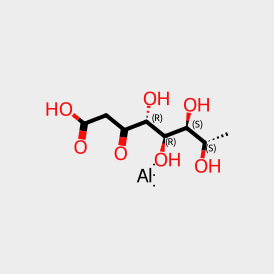 C[C@H](O)[C@H](O)[C@@H](O)[C@@H](O)C(=O)CC(=O)O.[Al]